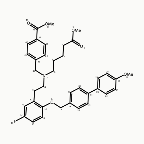 COC(=O)CCCCN(CCc1cc(F)ccc1OCc1ccc(-c2ccc(OC)cc2)cc1)Cc1ccc(C(=O)OC)cc1